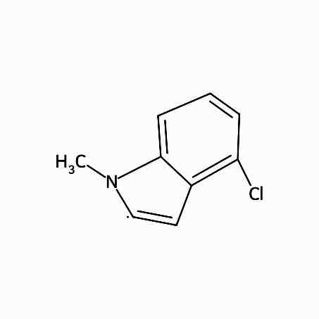 Cn1[c]cc2c(Cl)cccc21